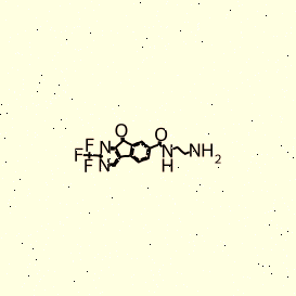 NCCNC(=O)c1ccc2c(c1)C(=O)c1nc(C(F)(F)F)ncc1-2